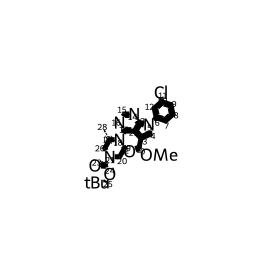 COC(=O)c1cn(-c2cccc(Cl)c2)c2ncnc(N3CCN(C(=O)OC(C)(C)C)C[C@@H]3C)c12